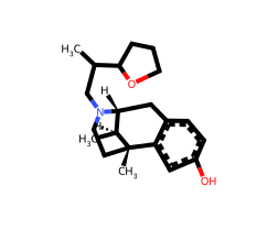 CC(CN1CC[C@@]2(C)c3cc(O)ccc3C[C@@H]1[C@@H]2C)C1CCCO1